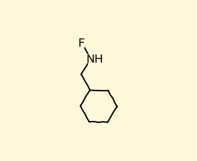 FNCC1CCCCC1